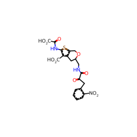 O=C(O)C(=O)Nc1sc2c(c1C(=O)O)CC(CNC(=O)C(=O)Cc1ccccc1[N+](=O)[O-])OC2